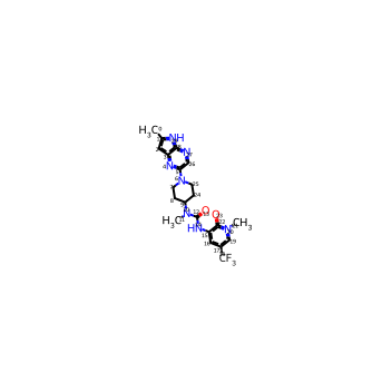 Cc1cc2nc(N3CCC(N(C)C(=O)Nc4cc(C(F)(F)F)cn(C)c4=O)CC3)cnc2[nH]1